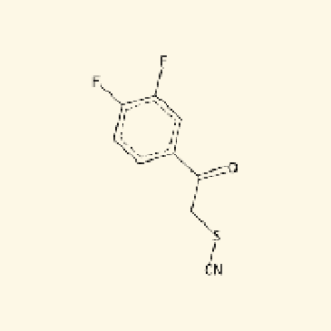 N#CSCC(=O)c1ccc(F)c(F)c1